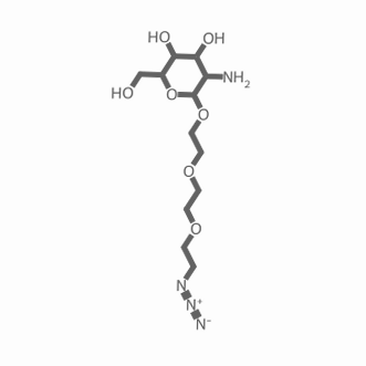 [N-]=[N+]=NCCOCCOCCOC1OC(CO)C(O)C(O)C1N